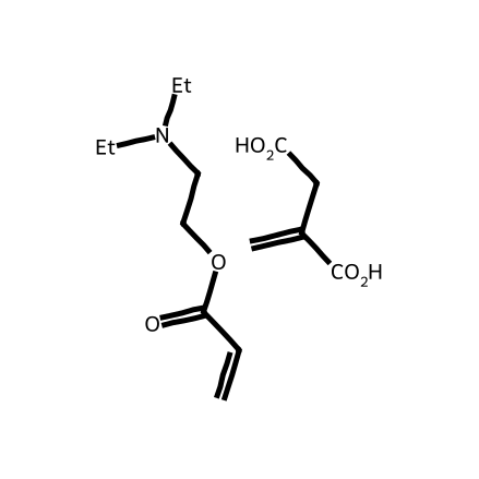 C=C(CC(=O)O)C(=O)O.C=CC(=O)OCCN(CC)CC